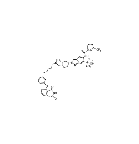 CN(CCCCCc1cccc(Oc2cccc3c2C(=O)NC(=O)C3)c1)C[C@H]1CC[C@H](n2cc3cc(NC(=O)c4cccc(C(F)(F)F)n4)c(C(C)(C)O)cc3n2)CC1